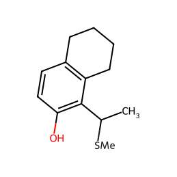 CSC(C)c1c(O)ccc2c1CCCC2